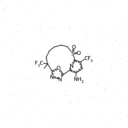 CC1(C(F)(F)F)CCCCCS(=O)(=O)c2nc(c(N)cc2C(F)(F)F)-c2nnc1o2